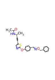 CC(=O)NC(C)C#Cc1cnc(Oc2ccc(/C=N/OCc3ccccc3)cc2)s1